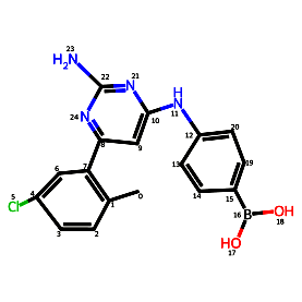 Cc1ccc(Cl)cc1-c1cc(Nc2ccc(B(O)O)cc2)nc(N)n1